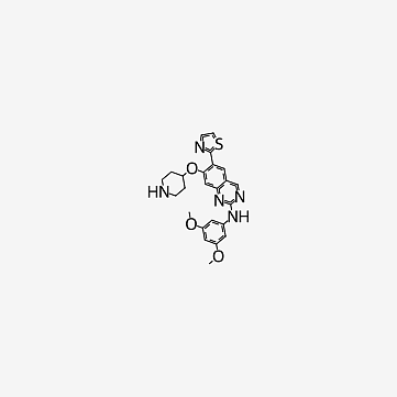 COc1cc(Nc2ncc3cc(-c4nccs4)c(OC4CCNCC4)cc3n2)cc(OC)c1